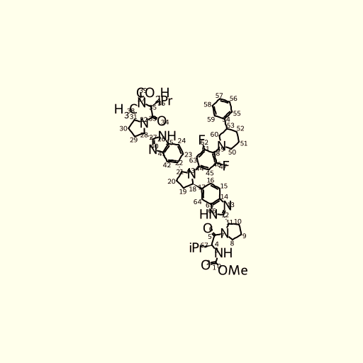 COC(=O)N[C@H](C(=O)N1CCC[C@H]1c1nc2ccc([C@H]3CC[C@H](c4ccc5[nH]c([C@@H]6CCCN6C(=O)[C@H](C(C)C)N(C)C(=O)O)nc5c4)N3c3cc(F)c(N4CCCC(c5ccccc5)C4)c(F)c3)cc2[nH]1)C(C)C